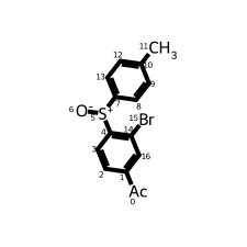 CC(=O)c1ccc([S+]([O-])c2ccc(C)cc2)c(Br)c1